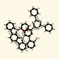 Fc1ccccc1-c1cc(-c2nc(-c3ccccc3)nc(-c3ccccc3)n2)ccc1-n1c2ccccc2c2ccc3c4ccccc4n(-c4ccccc4)c3c21